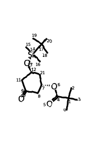 CC(C)(C)C(=O)O[C@@H]1CC(=O)C[C@@H](O[Si](C)(C)C(C)(C)C)C1